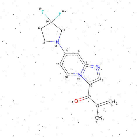 C=C(C)C(=O)c1cnc2cc(N3CCC(F)(F)C3)ccn12